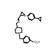 O=C(O)c1ccc(CN2CCC(C/N=C/C3C[C@@H]3c3ccc(C4CC4)cc3)CC2)cc1